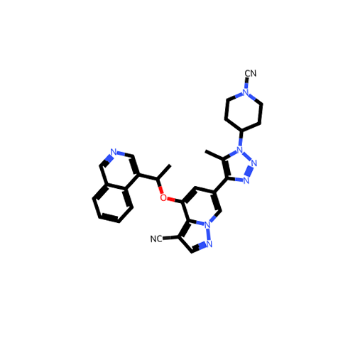 Cc1c(-c2cc(OC(C)c3cncc4ccccc34)c3c(C#N)cnn3c2)nnn1C1CCN(C#N)CC1